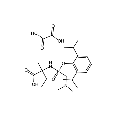 CCC(C)(NP(=O)(CN(C)C)Oc1c(C(C)C)cccc1C(C)C)C(=O)O.O=C(O)C(=O)O